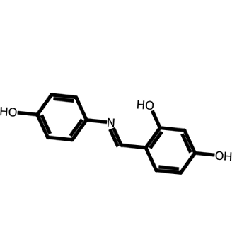 Oc1ccc(/N=C/c2ccc(O)cc2O)cc1